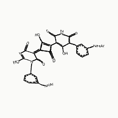 CC(=O)Nc1cccc(C2C(=O)NC(=O)C(C3=C(O)/C(=C4\C(=O)N=C(O)N(c5cccc(NC(C)=O)c5)C4=O)C3=O)=C2O)c1